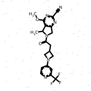 COc1nc(C#N)nc2c1C(C)N(C(=O)CC1CN(c3ccnc(C(F)(F)F)c3)C1)C2